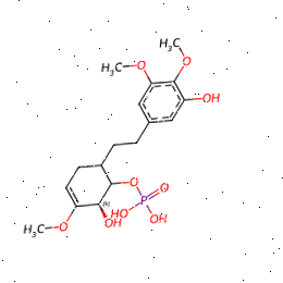 COC1=CCC(CCc2cc(O)c(OC)c(OC)c2)C(OP(=O)(O)O)[C@H]1O